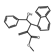 C=C(C(=O)OC)C(c1cccc2ccccc12)C(O)c1ccccc1